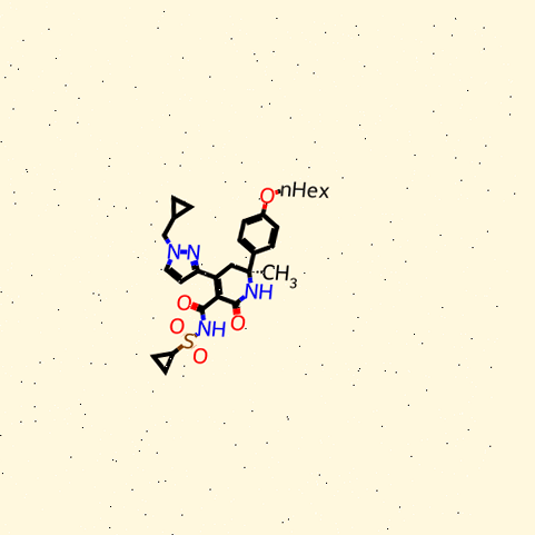 CCCCCCOc1ccc([C@]2(C)CC(c3ccn(CC4CC4)n3)=C(C(=O)NS(=O)(=O)C3CC3)C(=O)N2)cc1